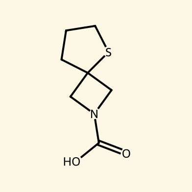 O=C(O)N1CC2(CCCS2)C1